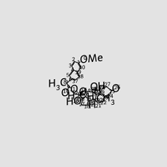 COc1ccc2cc([C@H](C)C(=O)OCC(=O)[C@@]3(O)CC[C@H]4[C@@H]5CCC6=CC(=O)CC[C@]6(C)[C@H]5[C@@H](O)C[C@@]43C)ccc2c1